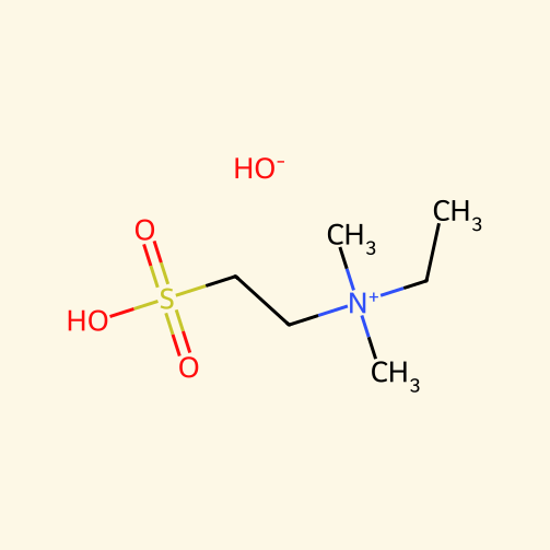 CC[N+](C)(C)CCS(=O)(=O)O.[OH-]